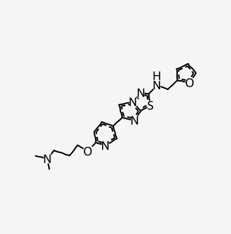 CN(C)CCCOc1ccc(-c2cn3nc(NCc4ccco4)sc3n2)cn1